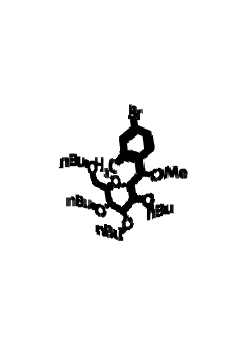 CCCCOCC1O[C@H]([C@H](OC)c2ccc(Br)cc2C)C(OCCCC)[C@@H](OCCCC)[C@@H]1OCCCC